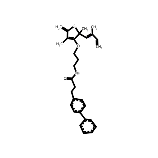 C=C/C(C)=C/C1(C)SC(=C)C(C)=C1OCCCNC(=O)CCc1ccc(-c2ccccc2)cc1